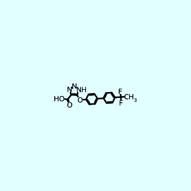 CC(F)(F)c1ccc(-c2ccc(Oc3[nH]nnc3C(=O)O)cc2)cc1